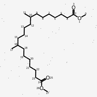 COC(=O)CCCCCCC(C)CCCCC(C)CCCCCCC(=O)OC